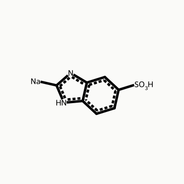 O=S(=O)(O)c1ccc2[nH][c]([Na])nc2c1